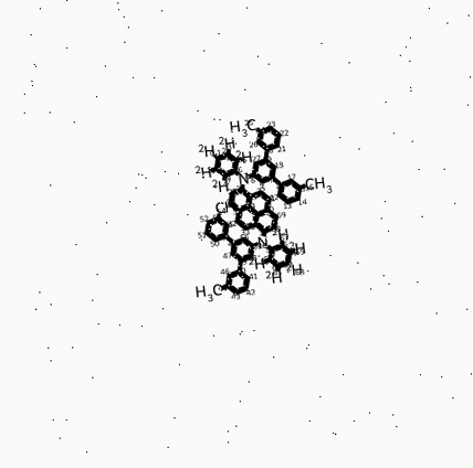 [2H]c1c([2H])c([2H])c(N(c2cc(-c3cccc(C)c3)cc(-c3cccc(C)c3)c2)c2ccc3ccc4c(N(c5cc(-c6cccc(C)c6)cc(-c6cccc(C)c6)c5)c5c([2H])c([2H])c([2H])c([2H])c5[2H])ccc5ccc2c3c54)c([2H])c1[2H]